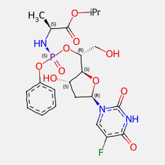 CC(C)OC(=O)[C@H](C)N[P@@](=O)(Oc1ccccc1)O[C@H](CO)[C@H]1O[C@@H](n2cc(F)c(=O)[nH]c2=O)C[C@@H]1O